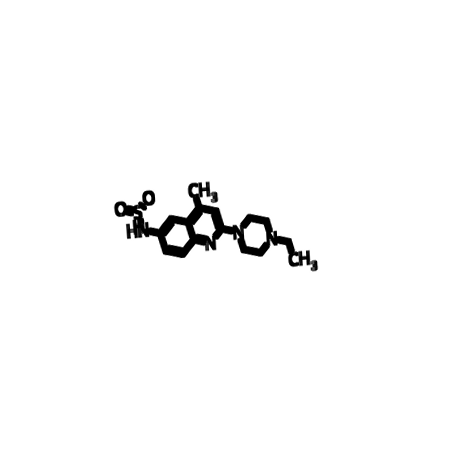 CCN1CCN(c2cc(C)c3cc(N[SH](=O)=O)ccc3n2)CC1